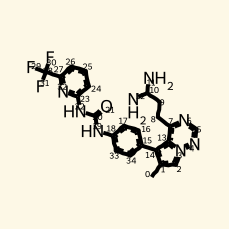 Cc1cn2ncnc(CCC(N)N)c2c1-c1ccc(NC(=O)Nc2cccc(C(F)(F)F)n2)cc1